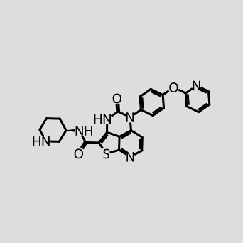 O=C(N[C@@H]1CCCNC1)c1sc2nccc3c2c1NC(=O)N3c1ccc(Oc2ccccn2)cc1